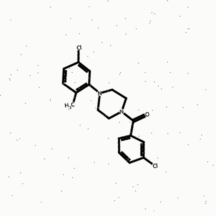 Cc1ccc(Cl)cc1N1CCN(C(=O)c2cccc(Cl)c2)CC1